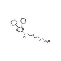 CC(C)N(CCSCCOCC(=O)O)c1cnc(-c2ccccc2)c(-c2ccccc2)n1